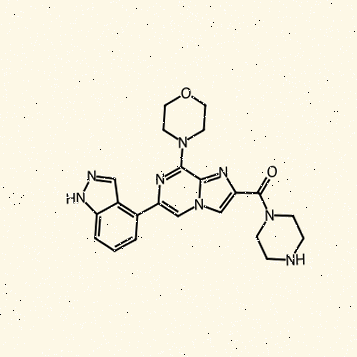 O=C(c1cn2cc(-c3cccc4[nH]ncc34)nc(N3CCOCC3)c2n1)N1CCNCC1